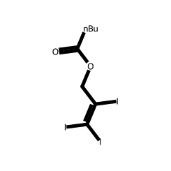 CCCCC(=O)OCC(I)=C(I)I